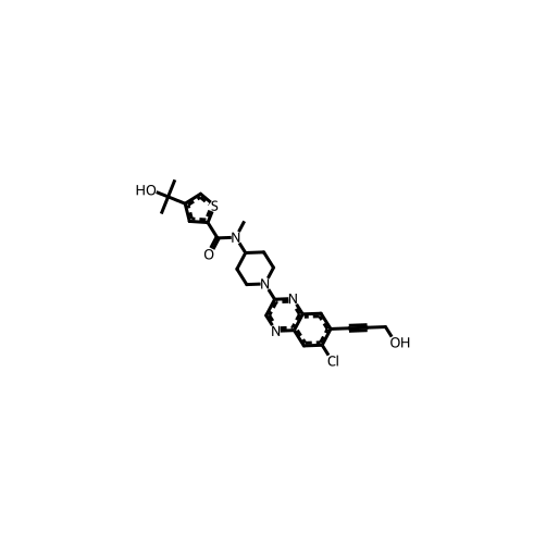 CN(C(=O)c1cc(C(C)(C)O)cs1)C1CCN(c2cnc3cc(Cl)c(C#CCO)cc3n2)CC1